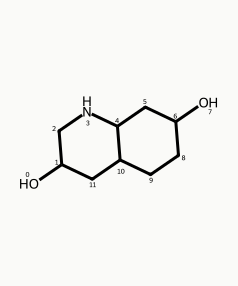 OC1CNC2CC(O)CCC2C1